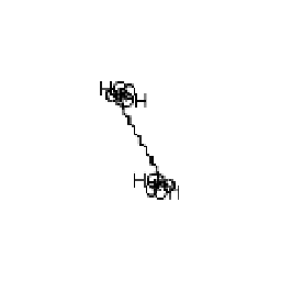 O=C(CCCCCCCCCCCCCCCCC(=O)P(=O)(O)O)P(=O)(O)O